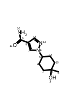 CC1(O)CCC(n2cc(C(N)=O)cn2)CC1